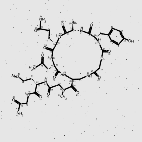 CC[C@H](C)[C@@H]1NC(=O)[C@H](Cc2ccc(O)cc2)NC(=O)CCC(=O)NC[C@@H](C(=O)N(C)CC(=O)N[C@@H](CCSC)C(=O)NCC(N)=O)NC(=O)[C@H](CC(N)=O)NC(=O)[C@H](CCC(N)=O)NC1=O